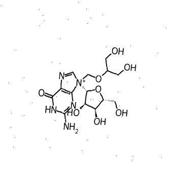 Nc1nc2c(c(=O)[nH]1)N=C[N+]2(COC(CO)CO)[C@@H]1O[C@H](CO)[C@@H](O)[C@H]1O